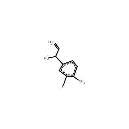 C=CC(O)c1ccc(C)c(F)c1